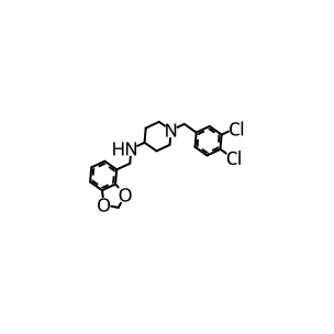 Clc1ccc(CN2CCC(NCc3cccc4c3OCO4)CC2)cc1Cl